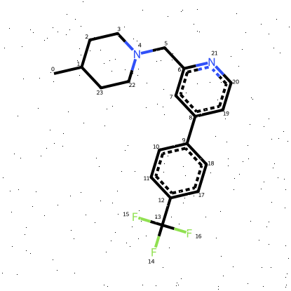 CC1CCN(Cc2cc(-c3ccc(C(F)(F)F)cc3)ccn2)CC1